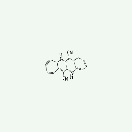 N#CC1=C2NC3C=CC=CC3=C(C#N)C2NC2=CC=CCC21